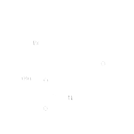 CC(C)(C)OC(=O)N1CCCC1c1cc(Br)cc2c1OCCC2